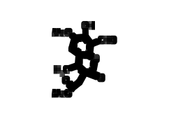 COC(=O)Cc1c(C)c2cc(OC)c(O)c(C=O)c2oc1=O